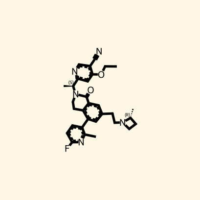 CCOc1cc([C@H](C)N2CCc3c(cc(CCN4CC[C@H]4C)cc3-c3ccc(F)nc3C)C2=O)ncc1C#N